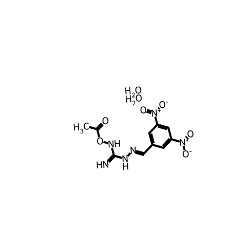 CC(=O)ONC(=N)NN=Cc1cc([N+](=O)[O-])cc([N+](=O)[O-])c1.O.O